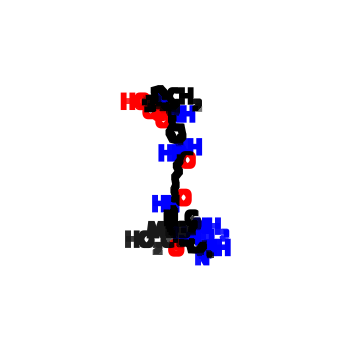 C=C[C@@H](NC(=O)c1ccc(NNC(=O)CCCCCC(=O)NCCCC[C@H](NC(=O)C(Cc2c[nH]cn2)NC(OC)[C@H](C)N)C(=O)O)cc1)C(=O)N1CCC[C@H]1B(O)O